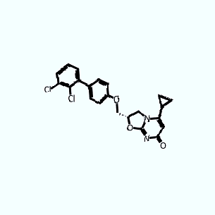 O=c1cc(C2CC2)n2c(n1)O[C@H](COc1ccc(-c3cccc(Cl)c3Cl)cc1)C2